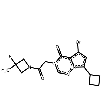 CC1(F)CN(C(=O)Cn2cnn3c(C4CCC4)cc(Br)c3c2=O)C1